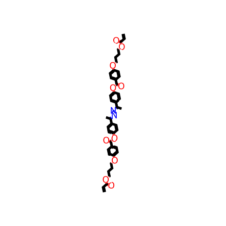 C=CC(=O)OCCCCOc1ccc(C(=O)Oc2ccc(/C(C)=N/N=C(\C)c3ccc(OC(=O)c4ccc(OCCCCOC(=O)C=C)cc4)cc3)cc2)cc1